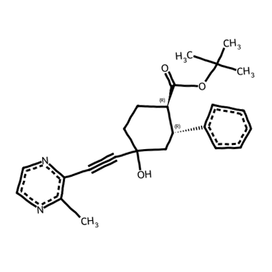 Cc1nccnc1C#CC1(O)CC[C@@H](C(=O)OC(C)(C)C)[C@H](c2ccccc2)C1